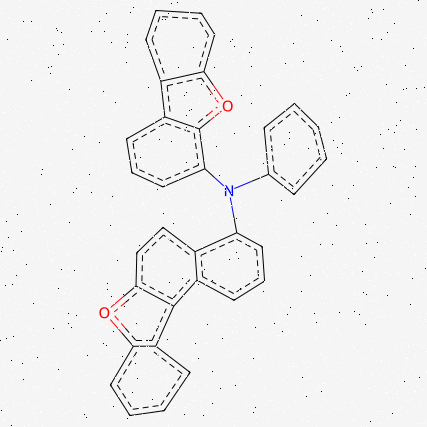 c1ccc(N(c2cccc3c2ccc2oc4ccccc4c23)c2cccc3c2oc2ccccc23)cc1